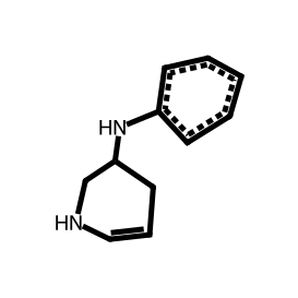 C1=CNCC(Nc2ccccc2)C1